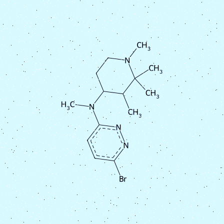 CC1C(N(C)c2ccc(Br)nn2)CCN(C)C1(C)C